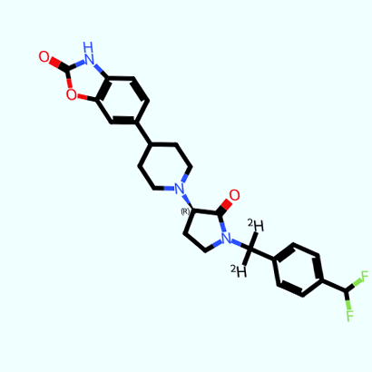 [2H]C([2H])(c1ccc(C(F)F)cc1)N1CC[C@@H](N2CCC(c3ccc4[nH]c(=O)oc4c3)CC2)C1=O